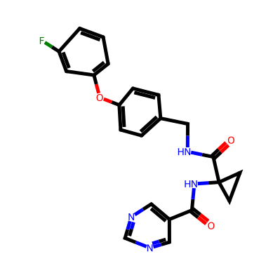 O=C(NC1(C(=O)NCc2ccc(Oc3cccc(F)c3)cc2)CC1)c1cncnc1